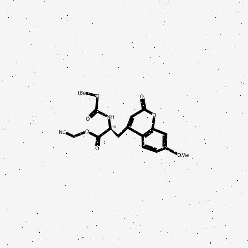 COc1ccc2c(C[C@H](NC(=O)OC(C)(C)C)C(=O)OCC#N)cc(=O)oc2c1